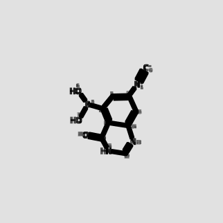 [C-]#[N+]c1cc(B(O)O)c2c(=O)[nH]cnc2c1